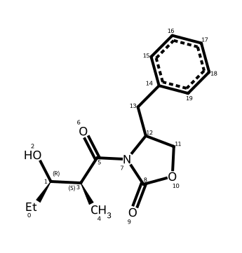 CC[C@@H](O)[C@H](C)C(=O)N1C(=O)OCC1Cc1ccccc1